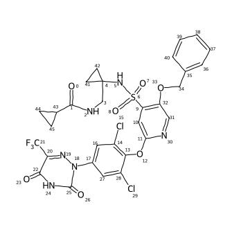 O=C(NCC1(NS(=O)(=O)c2cc(Oc3c(Cl)cc(-n4nc(C(F)(F)F)c(=O)[nH]c4=O)cc3Cl)ncc2OCc2ccccc2)CC1)C1CC1